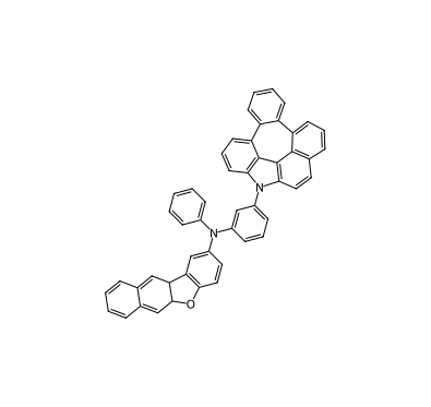 C1=c2ccccc2=CC2c3cc(N(c4ccccc4)c4cccc(-n5c6cccc7c6c6c8c(cccc8ccc65)-c5ccccc5-7)c4)ccc3OC12